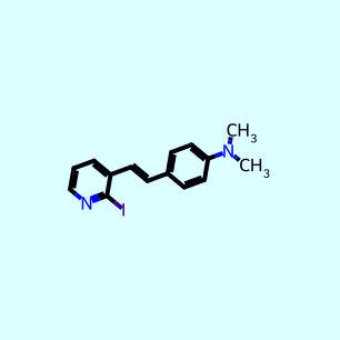 CN(C)c1ccc(C=Cc2cccnc2I)cc1